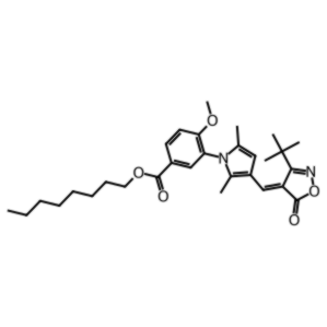 CCCCCCCCOC(=O)c1ccc(OC)c(-n2c(C)cc(C=C3C(=O)ON=C3C(C)(C)C)c2C)c1